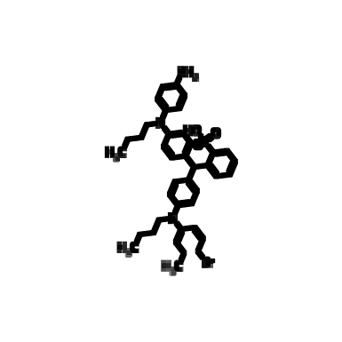 Bc1ccc(N(CCCC)c2ccc(C(c3ccc(N(CCCC)C(/C=C\CBr)=C/CC)cc3)c3ccccc3S(=O)(=O)O)cc2)cc1